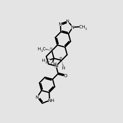 Cn1nnc2cc3c(cc21)C[C@H]1N(C(=O)c2ccc4nc[nH]c4c2)CC[C@]3(C)C1(C)C